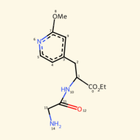 CCOC(=O)C(Cc1ccnc(OC)c1)NC(=O)CN